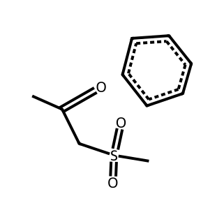 CC(=O)CS(C)(=O)=O.c1ccccc1